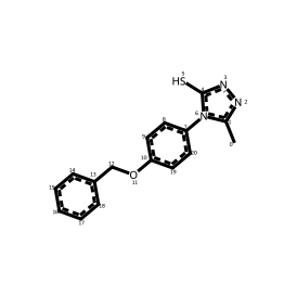 Cc1nnc(S)n1-c1ccc(OCc2ccccc2)cc1